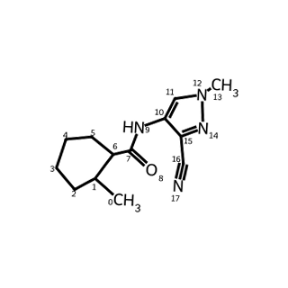 CC1CCCCC1C(=O)Nc1cn(C)nc1C#N